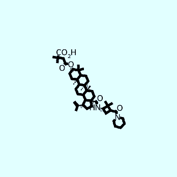 C=C(C)[C@@H]1CC[C@@]2(C(=O)N[C@H]3CC(C(=O)N4CCCCC4)C3(C)C)CC[C@]3(C)C(CCC4[C@@]5(C)CC[C@H](OC(=O)CC(C)(C)C(=O)O)C(C)(C)C5CC[C@]43C)C12